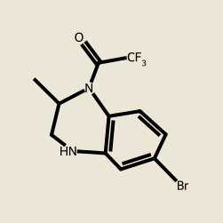 CC1CNc2cc(Br)ccc2N1C(=O)C(F)(F)F